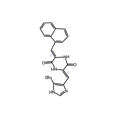 CC(C)(C)c1[nH]cnc1/C=c1\[nH]c(=O)/c(=C/c2cccc3ccccc23)[nH]c1=O